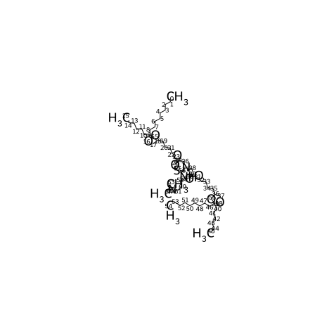 CCCCCCCCCC1(CCCCCC)OCC(CCCCOC(=O)CN(CC(=O)OCCCCC2COC(CCCCCC)(CCCCCCCCC)O2)C(=S)NCCCN(C)C)O1